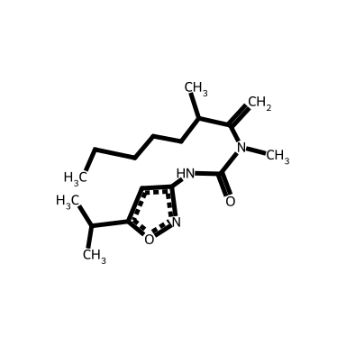 C=C(C(C)CCCCC)N(C)C(=O)Nc1cc(C(C)C)on1